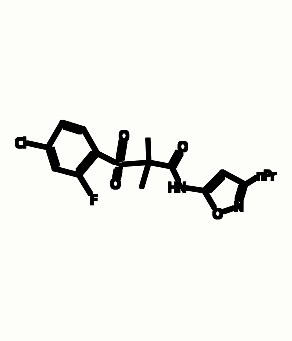 CCCc1cc(NC(=O)C(C)(C)S(=O)(=O)c2ccc(Cl)cc2F)on1